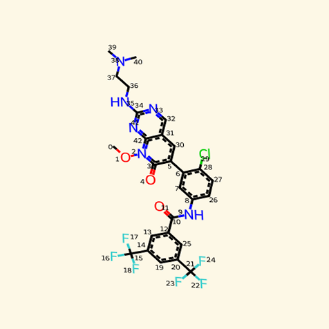 COn1c(=O)c(-c2cc(NC(=O)c3cc(C(F)(F)F)cc(C(F)(F)F)c3)ccc2Cl)cc2cnc(NCCN(C)C)nc21